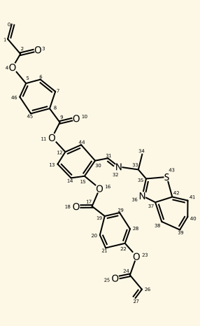 C=CC(=O)Oc1ccc(C(=O)Oc2ccc(OC(=O)c3ccc(OC(=O)C=C)cc3)c(/C=N/C(C)c3nc4ccccc4s3)c2)cc1